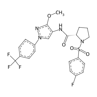 COc1nn(-c2ccc(C(F)(F)F)cc2)cc1NC(=O)[C@@H]1CCCN1S(=O)(=O)c1ccc(F)cc1